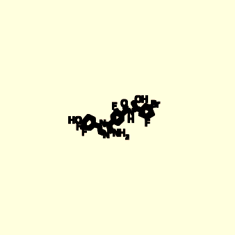 Nc1ncc(C2CC[C@H](O)C(F)(F)C2)nc1-c1ccc(C(=O)NC(CO)c2cc(F)cc(Br)c2)c(F)c1